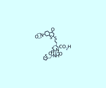 O=C(Cc1cccs1)NC1C(=O)N2C(C(=O)O)=C(/C=C/Sc3cc(=O)c4ccc(N5CCOCC5)cc4s3)CS[C@H]12